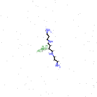 Cl.Cl.Cl.Cl.NCCCNCCCCNCCCN